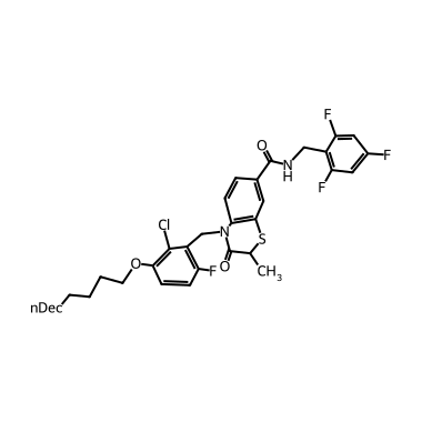 CCCCCCCCCCCCCCOc1ccc(F)c(CN2C(=O)C(C)Sc3cc(C(=O)NCc4c(F)cc(F)cc4F)ccc32)c1Cl